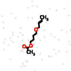 CC=CCOCCCCOC(C)=O